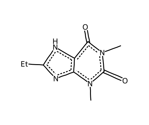 CCc1nc2c([nH]1)c(=O)n(C)c(=O)n2C